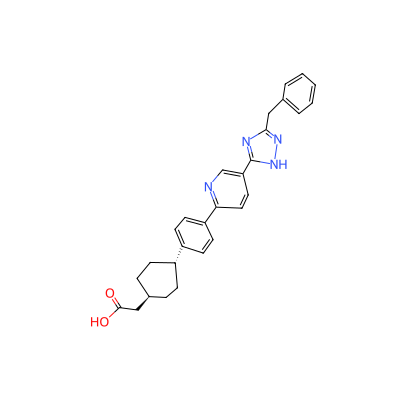 O=C(O)C[C@H]1CC[C@H](c2ccc(-c3ccc(-c4nc(Cc5ccccc5)n[nH]4)cn3)cc2)CC1